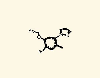 CC(=O)COc1cc(-n2cccn2)c(C)cc1Br